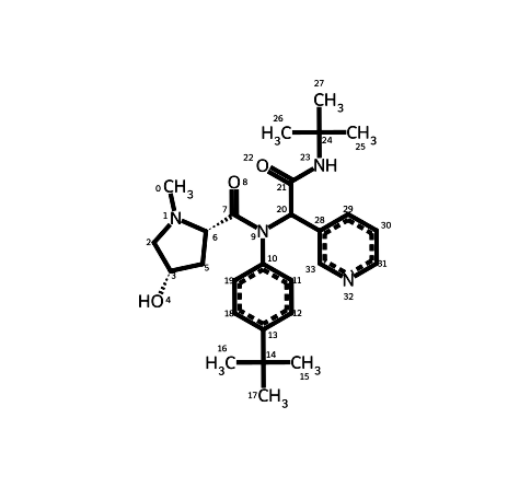 CN1C[C@@H](O)C[C@H]1C(=O)N(c1ccc(C(C)(C)C)cc1)C(C(=O)NC(C)(C)C)c1cccnc1